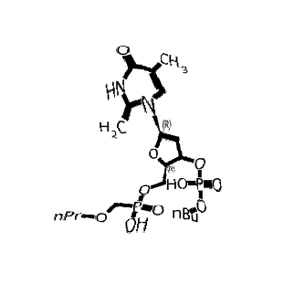 C=C1NC(=O)C(C)=CN1[C@H]1CC(OP(=O)(O)OCCCC)[C@@H](COP(=O)(O)COCCC)O1